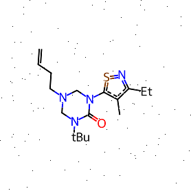 C=CCCN1CN(c2snc(CC)c2C)C(=O)N(C(C)(C)C)C1